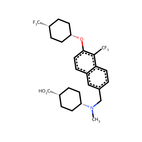 CN(Cc1ccc2c(C(F)(F)F)c(O[C@H]3CC[C@@H](C(F)(F)F)CC3)ccc2c1)[C@H]1CC[C@@H](C(=O)O)CC1